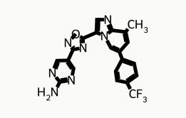 Cc1cc(-c2ccc(C(F)(F)F)cc2)cn2c(-c3nc(-c4cnc(N)nc4)no3)cnc12